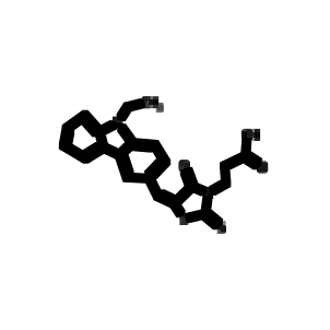 CCn1c2ccccc2c2cc(/C=C3/SC(=S)N(CCC(=O)O)C3=O)ccc21